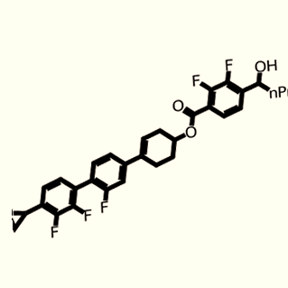 CCCC(O)c1ccc(C(=O)OC2CC=C(c3ccc(-c4ccc(C5CO5)c(F)c4F)c(F)c3)CC2)c(F)c1F